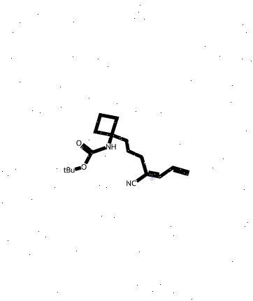 C=C/C=C(/C#N)CCCC1(NC(=O)OC(C)(C)C)CCC1